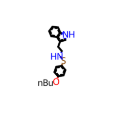 CCCCOc1ccc(SNCCc2c[nH]c3ccccc23)cc1